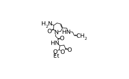 C=CCNCC1=CCC(N)C(=O)N(CC(=O)NC2CC(=O)OC2OCC)C1